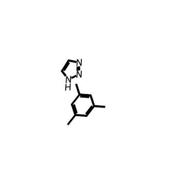 Cc1cc(C)cc(C)c1.c1c[nH]nn1